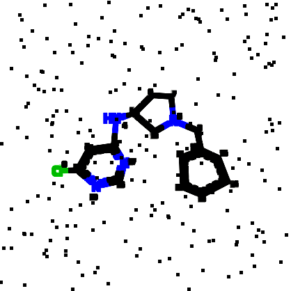 Clc1cc(N[C@H]2CCN(Cc3ccccc3)C2)ncn1